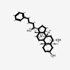 C[C@]12CC[C@H](O)C[C@@H]1[C@@H](O)C[C@@H]1C2CC[C@]2(C)[C@@H](C(O)CCCc3ccccc3)CC[C@@]12N